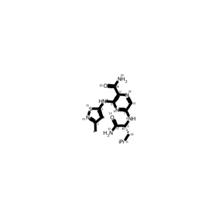 Cc1cc(Nc2nc(N[C@H](CC(C)C)C(N)=O)cnc2C(N)=O)sn1